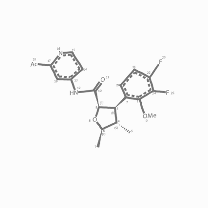 COc1c([C@H]2[C@H](C)[C@@H](C)O[C@H]2C(=O)Nc2ccnc(C(C)=O)c2)ccc(F)c1F